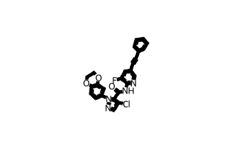 O=C(Nc1ncc(C#Cc2ccccc2)cc1F)c1c(Cl)cnn1-c1ccc2c(c1)OCCO2